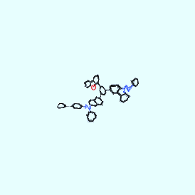 c1ccc(-c2ccc(N(c3ccccc3)c3ccc4cc(-c5cc(-c6ccc7c(c6)c6ccccc6n7-c6ccccc6)cc(-c6cccc7c6oc6ccccc67)c5)ccc4c3)cc2)cc1